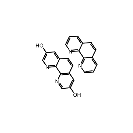 Oc1cnc2c(ccc3cc(O)cnc32)c1.c1cnc2c(c1)ccc1cccnc12